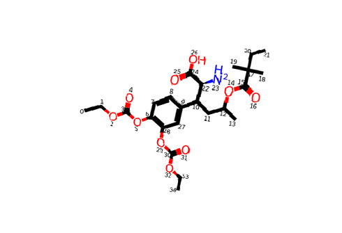 CCOC(=O)Oc1ccc(C(CC(C)OC(=O)C(C)(C)CC)[C@H](N)C(=O)O)cc1OC(=O)OCC